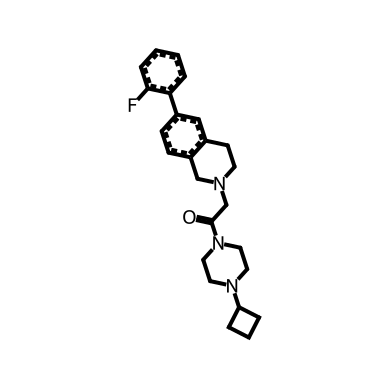 O=C(CN1CCc2cc(-c3ccccc3F)ccc2C1)N1CCN(C2CCC2)CC1